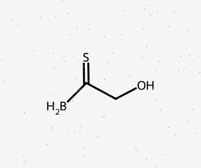 BC(=S)CO